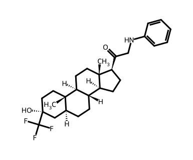 C[C@]12CC[C@](O)(C(F)(F)F)C[C@@H]1CC[C@@H]1[C@@H]2CC[C@]2(C)[C@@H](C(=O)CNc3ccccc3)CC[C@@H]12